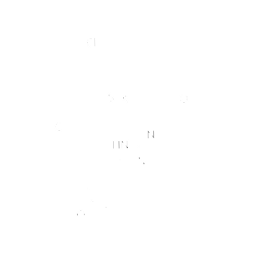 COc1cc[n+](-c2nc3cc4c(cc3[nH]2)C(C)(C)C(=O)C4(C)C)c(CSSc2ccc(Cl)cc2)c1C.[Cl-]